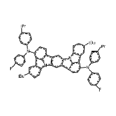 CC(C)c1ccc(N(c2ccc(F)cc2)c2ccc3c4cc5c(cc4n4c6ccc(C(C)(C)C)cc6c2c34)c2ccc(N(c3ccc(F)cc3)c3ccc(C(C)C)cc3)c3c4cc(C(C)(C)C)ccc4n5c23)cc1